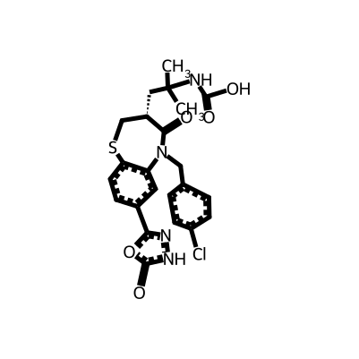 CC(C)(C[C@H]1CSc2ccc(-c3n[nH]c(=O)o3)cc2N(Cc2ccc(Cl)cc2)C1=O)NC(=O)O